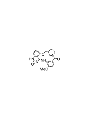 COc1ccc(C(=O)N2CCCC(COc3cccc4c3C(N)=N[S+]([O-])N4)C2)cc1